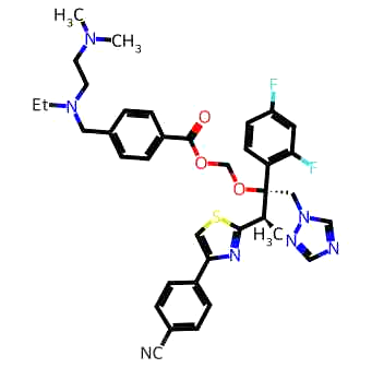 CCN(CCN(C)C)Cc1ccc(C(=O)OCO[C@@](Cn2cncn2)(c2ccc(F)cc2F)[C@@H](C)c2nc(-c3ccc(C#N)cc3)cs2)cc1